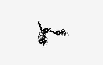 CCCCCCN1C(=O)C(=NNC(=O)c2c(N)cccc2C(F)(F)F)c2cc(SCCCc3ccc(C(=O)O)cc3)ccc21